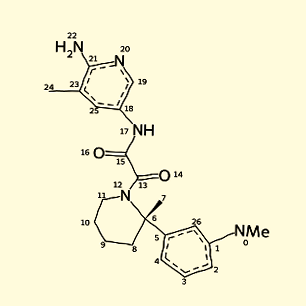 CNc1cccc([C@]2(C)CCCCN2C(=O)C(=O)Nc2cnc(N)c(C)c2)c1